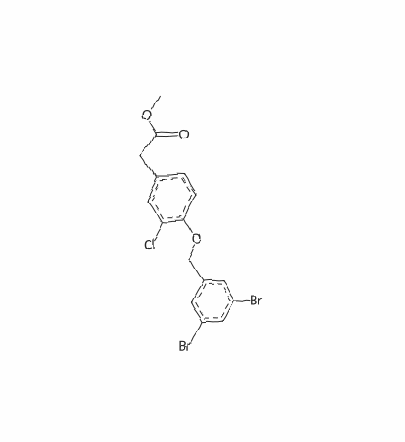 COC(=O)Cc1ccc(OCc2cc(Br)cc(Br)c2)c(Cl)c1